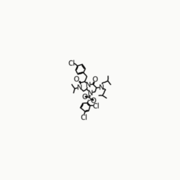 CC(C)CN(CC(C)C)C1CN(S(=O)(=O)c2ccc(Cl)cc2Cl)C2CN(C(C)C)C(=O)C(Cc3ccc(Cl)cc3)N2C1=O